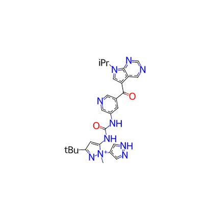 CC(C)n1cc(C(=O)c2cncc(NC(=O)NC3=CC(C(C)(C)C)=N[N+]3(C)c3cn[nH]c3)c2)c2cncnc21